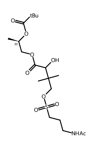 CC(=O)NCCCS(=O)(=O)OCC(C)(C)C(O)C(=O)OC[C@@H](C)OC(=O)C(C)(C)C